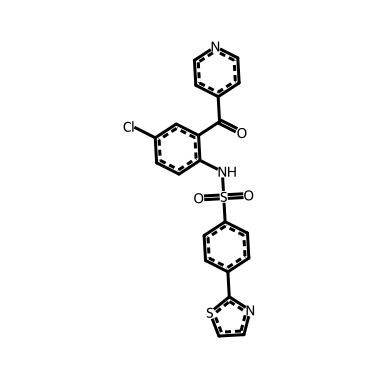 O=C(c1ccncc1)c1cc(Cl)ccc1NS(=O)(=O)c1ccc(-c2nccs2)cc1